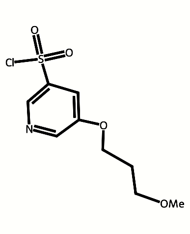 COCCCOc1cncc(S(=O)(=O)Cl)c1